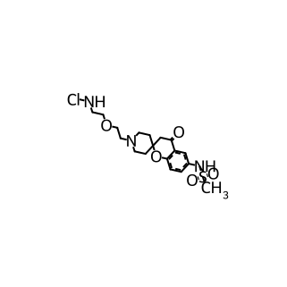 CS(=O)(=O)Nc1ccc2c(c1)C(=O)CC1(CCN(CCOCCNCl)CC1)O2